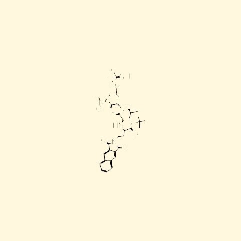 CC(C)C[C@H](N[C@H](CCN1C(=O)c2cc3ccccc3cc2C1=O)C(=O)OC(C)(C)C)C(=O)N[C@@H](CCCNC(=N)N)C(=O)N(C)[N+](=O)[O-]